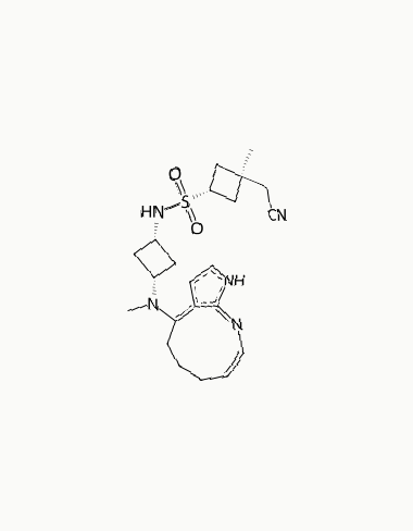 CN(/C1=c2\cc[nH]\c2=N\C=CCCC1)[C@H]1C[C@@H](NS(=O)(=O)[C@H]2C[C@](C)(CC#N)C2)C1